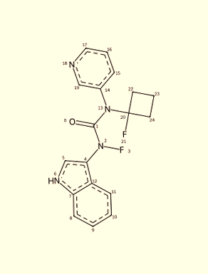 O=C(N(F)c1c[nH]c2ccccc12)N(c1cccnc1)C1(F)CCC1